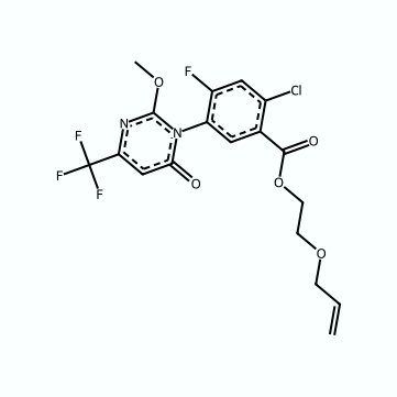 C=CCOCCOC(=O)c1cc(-n2c(OC)nc(C(F)(F)F)cc2=O)c(F)cc1Cl